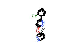 Clc1ccccc1-c1ccc(O[C@H]2CN3CCC2CC3)nn1